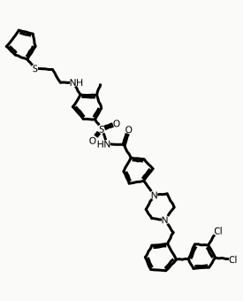 Cc1cc(S(=O)(=O)NC(=O)c2ccc(N3CCN(Cc4ccccc4-c4ccc(Cl)c(Cl)c4)CC3)cc2)ccc1NCCSc1ccccc1